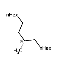 [CH2]CCCCCCC[C@@H](C)CCCCCCC